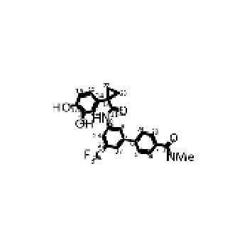 CNC(=O)c1ccc(-c2cc(NC(=O)C3(c4ccc(O)c(O)c4)CC3)cc(C(F)(F)F)c2)cc1